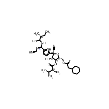 CC[C@@H](C)C(O)N/C(=N/C=N)c1ccc([C@]2(C#N)O[C@H](COC(=O)CC3CCCCC3)[C@@H](OC(=O)[C@@H](N)C(C)C)[C@H]2O)[nH]1